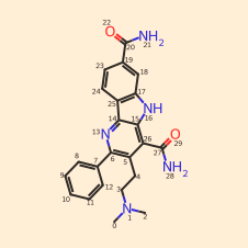 CN(C)CCc1c(-c2ccccc2)nc2c([nH]c3cc(C(N)=O)ccc32)c1C(N)=O